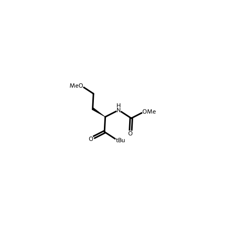 COCC[C@@H](NC(=O)OC)C(=O)C(C)(C)C